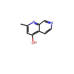 Cc1cc(O)c2ccncc2n1